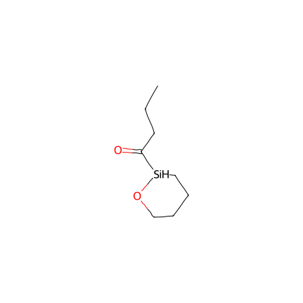 CCCC(=O)[SiH]1CCCCO1